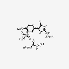 CCCCCC(=O)NO.CCCCCNc1nc(C)c(-c2ccc(OC)c(S(N)(=O)=O)c2)s1